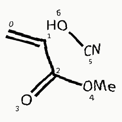 C=CC(=O)OC.N#CO